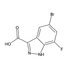 O=C(O)c1n[nH]c2c(F)cc(Br)cc12